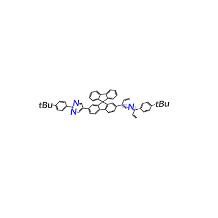 C=C/C(=C\N=C(/C=C)c1ccc(C(C)(C)C)cc1)c1ccc2c(c1)C1(c3ccccc3-c3ccccc31)c1cc(-c3cnc(-c4ccc(C(C)(C)C)cc4)nc3)ccc1-2